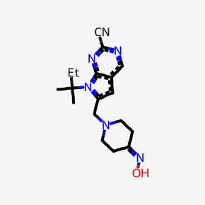 CCC(C)(C)n1c(CN2CCC(=NO)CC2)cc2cnc(C#N)nc21